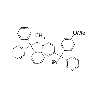 COc1ccc(C(c2ccccc2)(c2ccc(C(C)C(c3ccccc3)(c3ccccc3)c3ccccc3)cc2)C(C)C)cc1